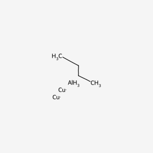 CCCC.[AlH3].[Cu].[Cu]